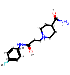 NC(=O)C1CCN(CCC(=O)Nc2ccc(F)cc2)CC1